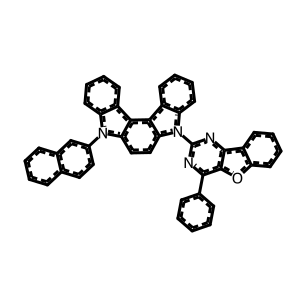 c1ccc(-c2nc(-n3c4ccccc4c4c5c6ccccc6n(-c6ccc7ccccc7c6)c5ccc43)nc3c2oc2ccccc23)cc1